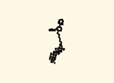 CCCCCCCCCCc1cc(-c2ncccn2)ccc1CCCCCCOCC(F)(F)OC(F)(F)C(F)(F)OC(F)(F)C(F)(F)C(F)(F)C(F)(F)F